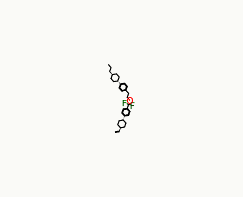 C=C[C@H]1CC[C@H](c2ccc(C(F)(F)OCCc3ccc([C@H]4CC[C@H](CCC)CC4)cc3)cc2)CC1